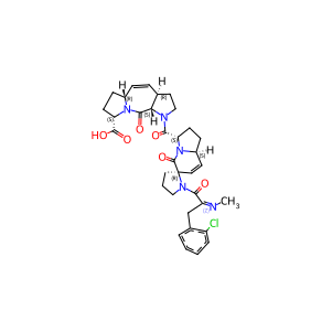 C/N=C(/Cc1ccccc1Cl)C(=O)N1CCC[C@]12C=C[C@@H]1CC[C@@H](C(=O)N3CC[C@@H]4C=C[C@H]5CC[C@@H](C(=O)O)N5C(=O)[C@H]43)N1C2=O